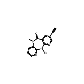 C#Cc1cnc2c(c1)C(=O)N(C)c1cccnc1N2CC